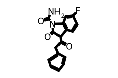 NC(=O)N1C(=O)C(C(=O)Cc2ccccc2)c2ccc(F)cc21